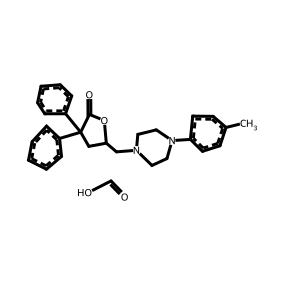 Cc1ccc(N2CCN(CC3CC(c4ccccc4)(c4ccccc4)C(=O)O3)CC2)cc1.O=CO